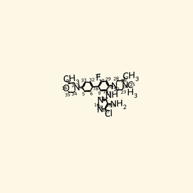 C[C@@H]1CN(c2ccc(-c3cc(Nc4ncnc(Cl)c4N)c(N4CCN(C)[C@@H](C)C4)cc3F)cc2)CCO1